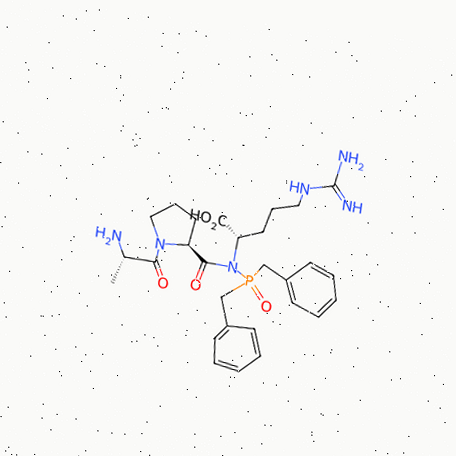 C[C@H](N)C(=O)N1CCC[C@H]1C(=O)N([C@@H](CCCNC(=N)N)C(=O)O)P(=O)(Cc1ccccc1)Cc1ccccc1